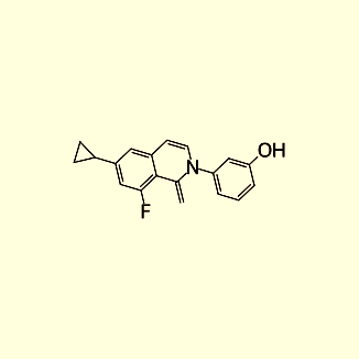 C=C1c2c(F)cc(C3CC3)cc2C=CN1c1cccc(O)c1